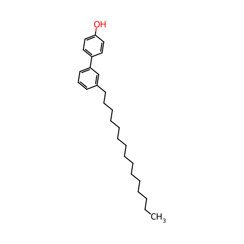 CCCCCCCCCCCCCCCc1cccc(-c2ccc(O)cc2)c1